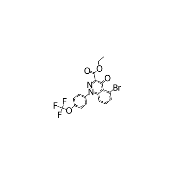 CCOC(=O)c1nn(-c2ccc(OC(F)(F)F)cc2)c2cccc(Br)c2c1=O